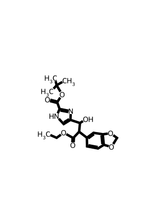 CCOC(=O)C(c1ccc2c(c1)OCO2)C(O)c1c[nH]c(C(=O)OC(C)(C)C)n1